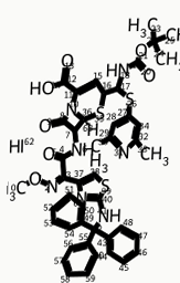 CO/N=C(\C(=O)NC1C(=O)N2C(C(=O)O)=CC(C(NC(=O)OC(C)(C)C)Sc3cc(C)nc(C)c3)S[C@@H]12)c1csc(NC(c2ccccc2)(c2ccccc2)c2ccccc2)n1.I